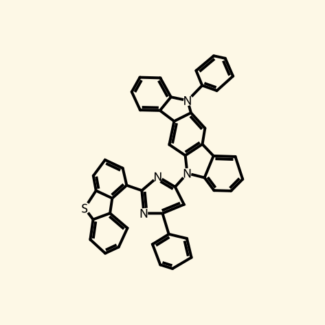 c1ccc(-c2cc(-n3c4ccccc4c4cc5c(cc43)c3ccccc3n5-c3ccccc3)nc(-c3cccc4sc5ccccc5c34)n2)cc1